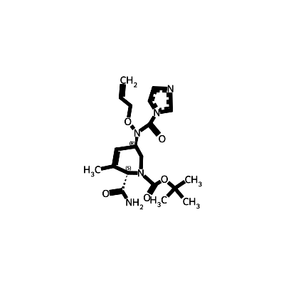 C=CCON(C(=O)n1ccnc1)[C@@H]1C=C(C)[C@@H](C(N)=O)N(C(=O)OC(C)(C)C)C1